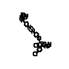 CCC(C)N1CCN(c2ccc(N3CCN(c4ccc(OCC5COC(Cn6ccnc6)(c6ccc(Cl)cc6Cl)O5)cc4)CC3)cc2)C1=S